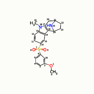 COc1cccc(S(=O)(=O)c2ccc3c(c2)c2c(n3C)CC3CCC2N3)c1